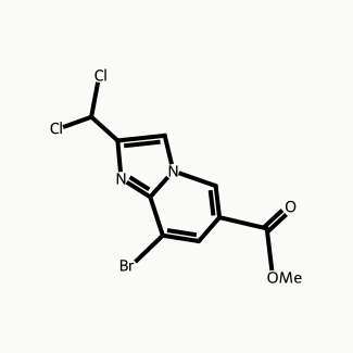 COC(=O)c1cc(Br)c2nc(C(Cl)Cl)cn2c1